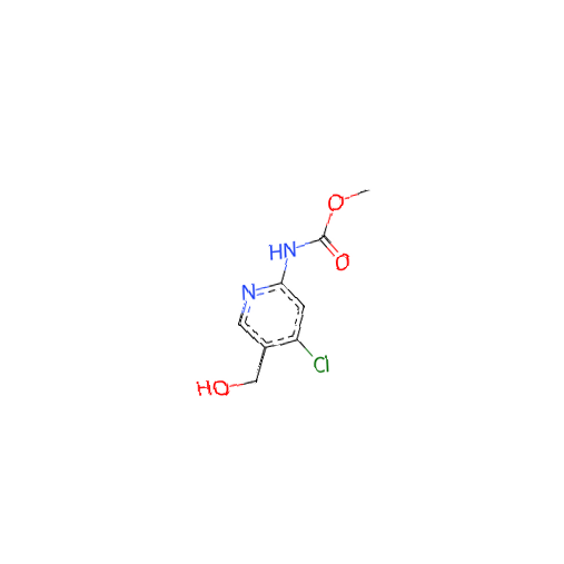 COC(=O)Nc1cc(Cl)c(CO)cn1